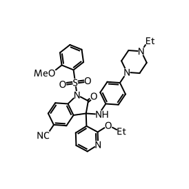 CCOc1ncccc1C1(Nc2ccc(N3CCN(CC)CC3)cc2)C(=O)N(S(=O)(=O)c2ccccc2OC)c2ccc(C#N)cc21